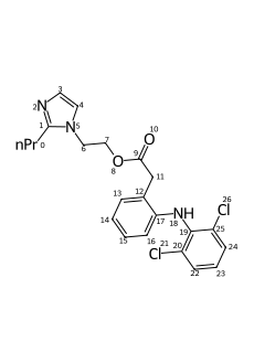 CCCc1nccn1CCOC(=O)Cc1ccccc1Nc1c(Cl)cccc1Cl